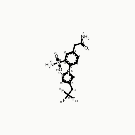 NC(=O)Cc1ccc(-n2cc(CC(F)(F)F)cn2)c(S(N)(=O)=O)c1